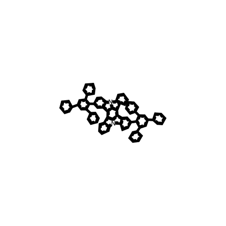 c1ccc(-c2cc(-c3ccccc3)c(-c3ccc4c(c3)c3c5c6ccccc6n6c7ccc(-c8c(-c9ccccc9)cc(-c9ccccc9)cc8-c8ccccc8)cc7c(c7c8ccccc8n4c73)c56)c(-c3ccccc3)c2)cc1